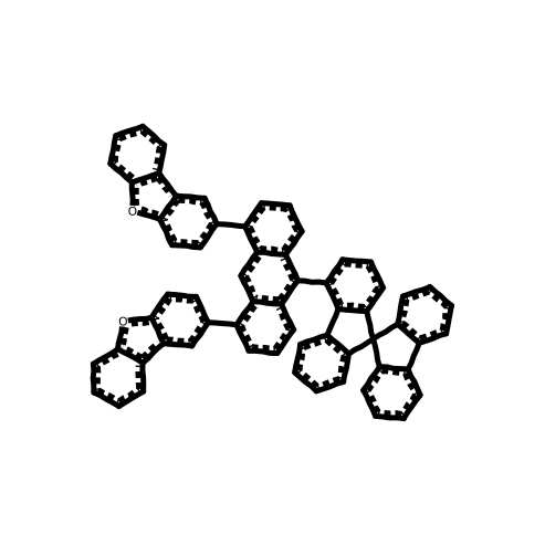 c1ccc2c(c1)-c1ccccc1C21c2ccccc2-c2c(-c3c4cccc(-c5ccc6oc7ccccc7c6c5)c4cc4c(-c5ccc6oc7ccccc7c6c5)cccc34)cccc21